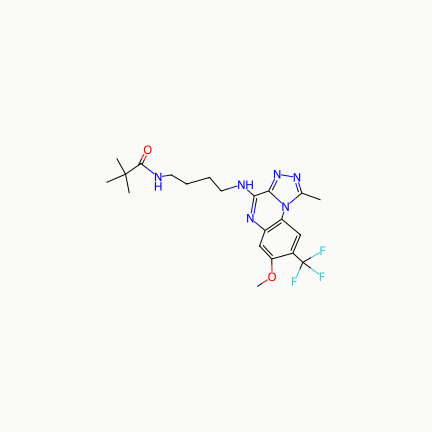 COc1cc2nc(NCCCCNC(=O)C(C)(C)C)c3nnc(C)n3c2cc1C(F)(F)F